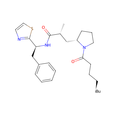 CC[C@H](C)CCCC(=O)N1CCC[C@H]1C[C@@H](C)C(=O)N[C@@H](Cc1ccccc1)c1nccs1